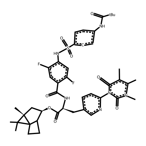 Cc1c(C)n(C)c(=O)n(-c2ccc(C[C@H](NC(=O)c3cc(F)c(NS(=O)(=O)c4ccc(NC(=O)C(C)(C)C)cc4)cc3F)C(=O)O[C@@H]3C[C@@]4(C)C(C)(C)C45CCC35)cn2)c1=O